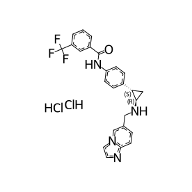 Cl.Cl.O=C(Nc1ccc([C@@H]2C[C@H]2NCc2ccc3nccn3c2)cc1)c1cccc(C(F)(F)F)c1